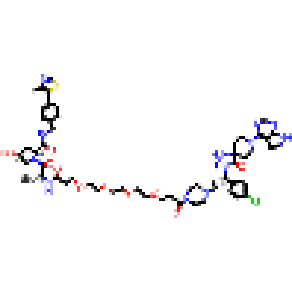 Cc1ncsc1-c1ccc(CNC(=O)[C@@H]2C[C@@H](O)CN2C(=O)[C@@H](NC(=O)CCOCCOCCOCCOCCC(=O)N2CCN(CC[C@H](NC(=O)C3(N)CCN(c4ncnc5[nH]ccc45)CC3)c3ccc(Cl)cc3)CC2)C(C)(C)C)cc1